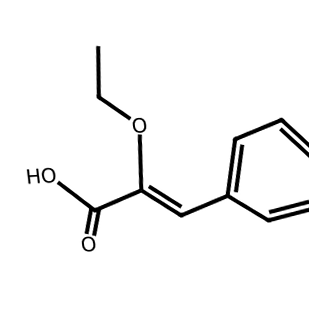 CCOC(=Cc1ccccc1)C(=O)O